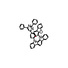 c1ccc(-c2cc(-c3ccc(-n4c5ccccc5c5ccc6c7ccccc7n(-c7cccc8c7oc7ccccc78)c6c54)cc3)nc(-c3ccccc3)n2)cc1